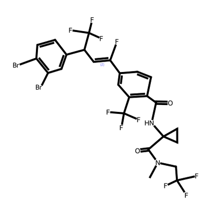 CN(CC(F)(F)F)C(=O)C1(NC(=O)c2ccc(/C(F)=C/C(c3ccc(Br)c(Br)c3)C(F)(F)F)cc2C(F)(F)F)CC1